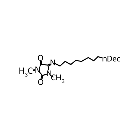 CCCCCCCCCCCCCCCCCCN=C1C(=O)N(C)C(=O)N1C